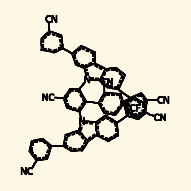 N#Cc1cccc(-c2ccc3c4ccc(-c5cccc(C#N)c5)cc4n(-c4cc(C#N)cc(-n5c6cc(-c7cccc(C#N)c7)ccc6c6ccc(-c7cccc(C#N)c7)cc65)c4-c4ccc(C(F)(F)F)cc4C#N)c3c2)c1